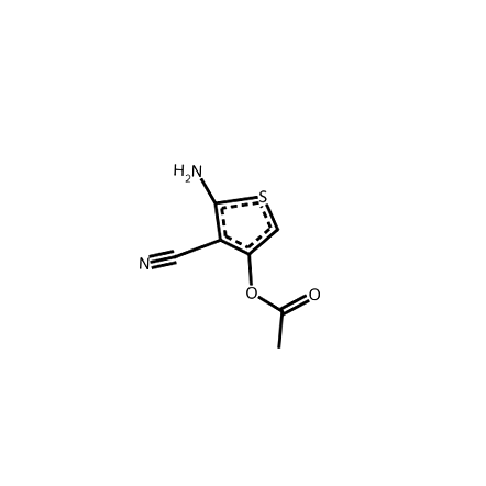 CC(=O)Oc1csc(N)c1C#N